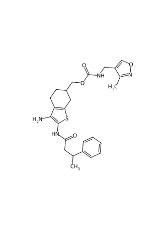 Cc1nocc1CNC(=O)OCC1CCc2c(sc(NC(=O)CC(C)c3ccccc3)c2N)C1